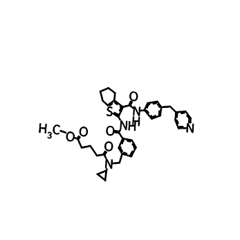 CCOC(=O)CCCC(=O)N(Cc1cccc(C(=O)Nc2sc3c(c2C(=O)Nc2ccc(Cc4ccncc4)cc2)CCCC3)c1)C1CC1